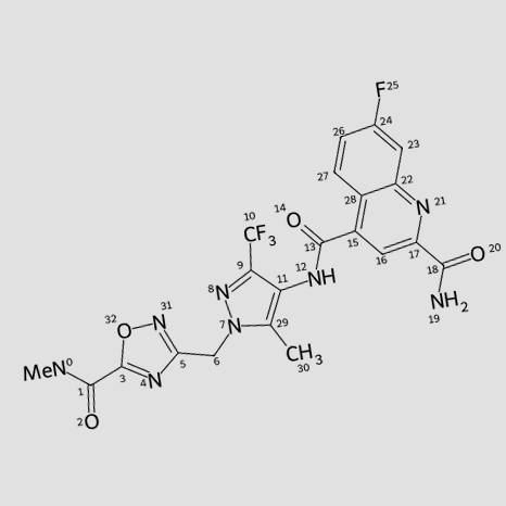 CNC(=O)c1nc(Cn2nc(C(F)(F)F)c(NC(=O)c3cc(C(N)=O)nc4cc(F)ccc34)c2C)no1